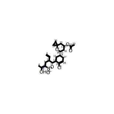 C=CC(C/C(=C(\C)O)[N+](=O)[O-])CC1CC([C@H]2C[C@@H](OC(C)=O)CC3(CC3)O2)CC=C1Cl